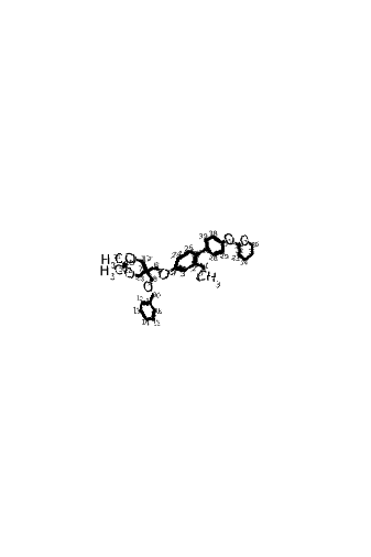 CCc1cc(OCC2(COCc3ccccc3)COC(C)(C)OC2)ccc1-c1ccc(OC2CCCCO2)cc1